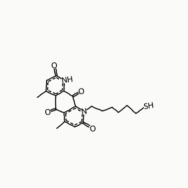 Cc1cc(=O)[nH]c2c1C(=O)c1c(C)cc(=O)n(CCCCCCS)c1C2=O